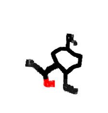 CCC(O)C1CC(C)CCC1OC